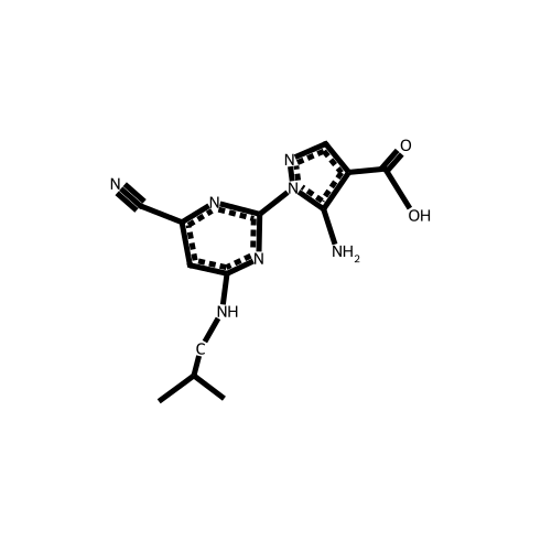 CC(C)CNc1cc(C#N)nc(-n2ncc(C(=O)O)c2N)n1